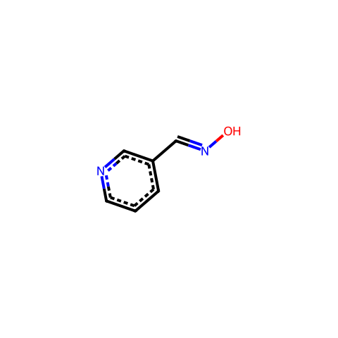 O/N=C/c1cccnc1